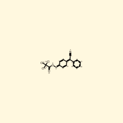 N#CC(=C1C=CC(=NOC(=O)C(Cl)(Cl)Cl)C=C1)c1ccccc1